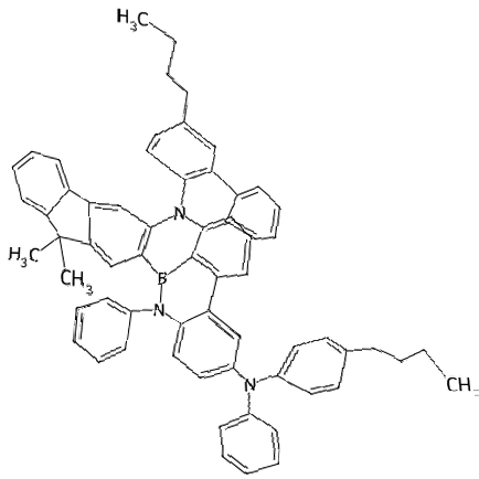 CCCCc1ccc(N(c2ccccc2)c2ccc3c(c2)-c2cccc4c2B(c2cc5c(cc2N4c2ccc(CCCC)cc2-c2ccccc2)-c2ccccc2C5(C)C)N3c2ccccc2)cc1